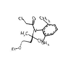 CCOCCC(C)(C)N(C(=O)CCl)c1c(C)cccc1C